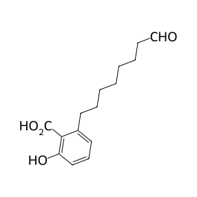 O=CCCCCCCCc1cccc(O)c1C(=O)O